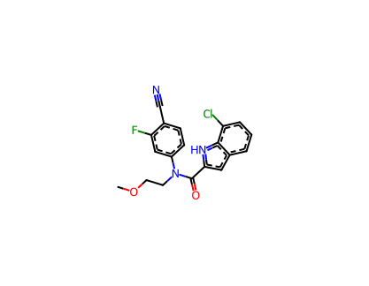 COCCN(C(=O)c1cc2cccc(Cl)c2[nH]1)c1ccc(C#N)c(F)c1